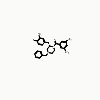 Cc1cc(C[C@@H]2CN(Cc3ccccc3)CCN2C(=O)c2cc(C(F)(F)F)cc(C(F)(F)F)c2)ccc1F